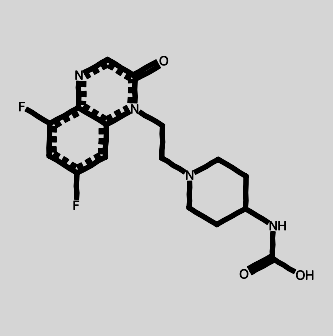 O=C(O)NC1CCN(CCn2c(=O)cnc3c(F)cc(F)cc32)CC1